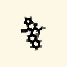 O=C(/C(=C(/O)c1ccco1)c1cnc2ccccc2n1)C(F)F